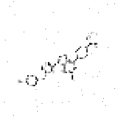 CC(C)(C)OC(=O)N1CCC(c2cc(=O)[nH]c3c(-c4nc(Cc5ccc(F)cc5)no4)cnn23)CC1